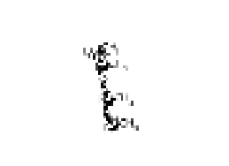 Cc1ccnc(COCc2cc(C)nc(OCCOCc3cc(C)nc(OC(C)(CO)CO)n3)n2)n1